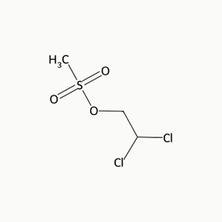 CS(=O)(=O)OCC(Cl)Cl